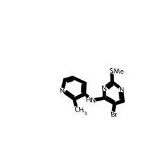 CSc1ncc(Br)c(Nc2cccnc2C)n1